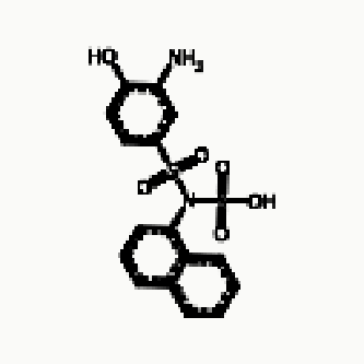 Nc1cc(S(=O)(=O)N(c2cccc3ccccc23)S(=O)(=O)O)ccc1O